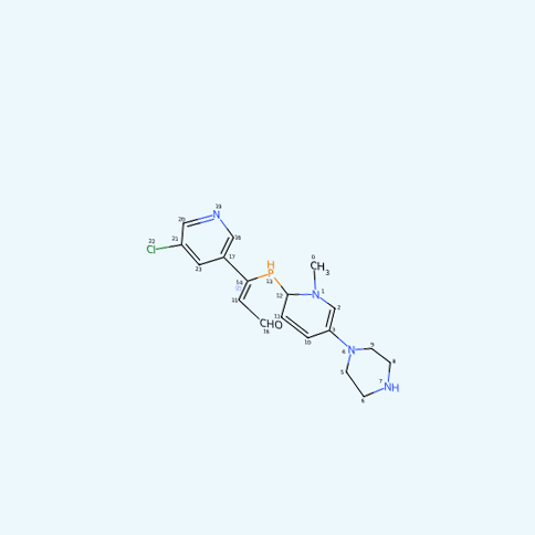 CN1C=C(N2CCNCC2)C=CC1P/C(=C\C=O)c1cncc(Cl)c1